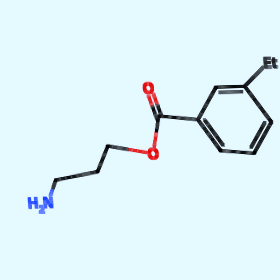 CCc1cccc(C(=O)OCCCN)c1